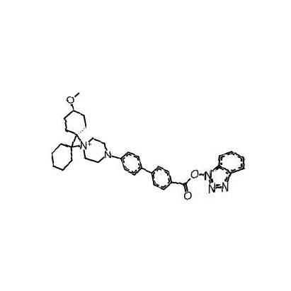 CO[C@H]1CC[C@@]2(CC1)C1(CCCCC1)[N+]21CCN(c2ccc(-c3ccc(C(=O)On4nnc5ccccc54)cc3)cc2)CC1